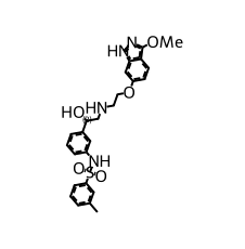 COc1n[nH]c2cc(OCCNC[C@H](O)c3cccc(NS(=O)(=O)c4cccc(C)c4)c3)ccc12